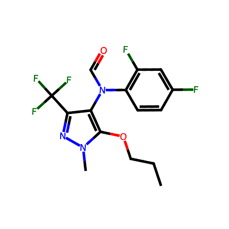 CCCOc1c(N(C=O)c2ccc(F)cc2F)c(C(F)(F)F)nn1C